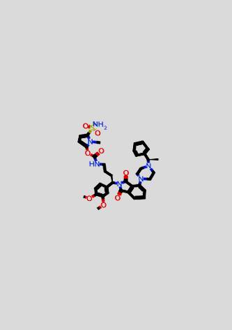 COc1ccc([C@@H](CCCNC(=O)Oc2ccc(S(N)(=O)=O)n2C)N2C(=O)c3cccc(N4CCN([C@H](C)c5ccccc5)CC4)c3C2=O)cc1OC